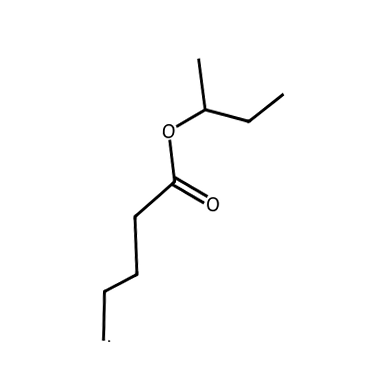 [CH2]CCCC(=O)OC(C)CC